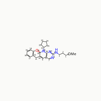 COCCCNc1ncc2cc(Cc3ccccc3)c(=O)n(C3CCCC3)c2n1